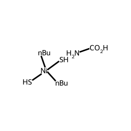 CCC[CH2][Ni]([SH])([SH])[CH2]CCC.NC(=O)O